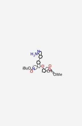 COCCCOC(=O)Cc1c(C)cccc1OC1CC2(CCN(C(=O)OCC(C)C)CC2)c2ccc(-c3ccc4ccnc(N)c4c3)cc21